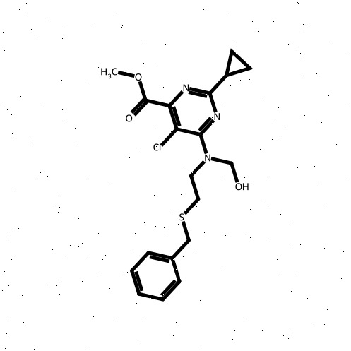 COC(=O)c1nc(C2CC2)nc(N(CO)CCSCc2ccccc2)c1Cl